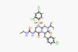 CCNC(=O)NC1CN(S(=O)(=O)c2ccc(Cl)cc2Cl)C2CN(C(C)C)C(=O)C(Cc3ccc(Cl)cc3)N2C1=O